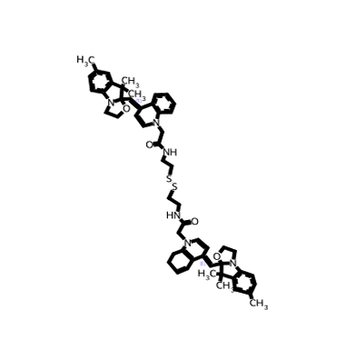 Cc1ccc2c(c1)C(C)(C)C1(/C=C3\C=CN(CC(=O)NCCSSCCNC(=O)CN4C=C/C(=C\C56OCCN5c5ccc(C)cc5C6(C)C)c5ccccc54)C4=C3C=CCC4)OCCN21